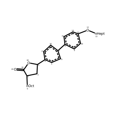 CCCCCCCCC1CC(c2ccc(-c3ccc(OCCCCCCC)cc3)cc2)OC1=O